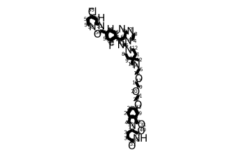 Nc1nccn2c(N3CCC4(CC3)CN(CCOCCOCCOc3ccc5c(c3)C(=O)N(C3CCC(=O)NC3=O)C5)C4)nc(-c3ccc(C(=O)Nc4cc(Cl)ccn4)cc3F)c12